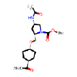 COC(=O)[C@H]1CC[C@H](OC[C@@H]2C[C@H](NC(=O)C(F)(F)F)CN2C(=O)OC(C)(C)C)CC1